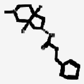 CN1CC[C@@H]2C[C@H](NC(=O)OCc3ccccc3)C[C@@H]2C1